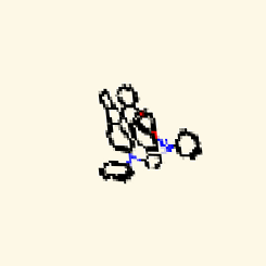 CC1(C)c2ccccc2C2(c3ccccc3-c3ccc(N(c4ccccc4)c4cccc(N(c5ccccc5)c5ccccc5)c4)cc32)c2ccccc21